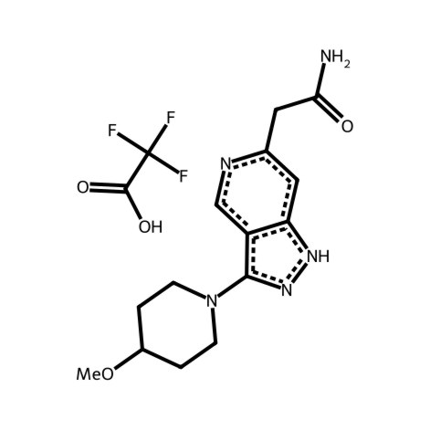 COC1CCN(c2n[nH]c3cc(CC(N)=O)ncc23)CC1.O=C(O)C(F)(F)F